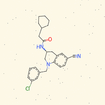 N#Cc1ccc2c(c1)C[C@H](NC(=O)CC1CCCCC1)CN2Cc1cccc(Cl)c1